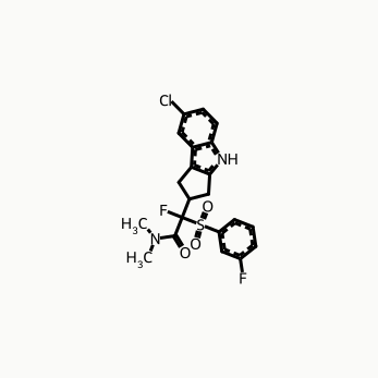 CN(C)C(=O)C(F)(C1Cc2[nH]c3ccc(Cl)cc3c2C1)S(=O)(=O)c1cccc(F)c1